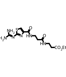 CCOC(=O)CCNC(=O)CCNC(=O)c1csc(N=C(N)N)n1